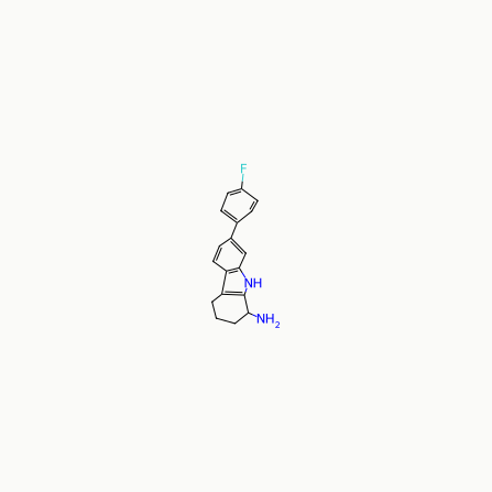 NC1CCCc2c1[nH]c1cc(-c3ccc(F)cc3)ccc21